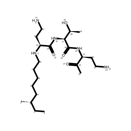 CC[C@H](C)CCCCCN[C@@H](CCN)C(=O)N[C@H](C(=O)N[C@@H](CCN)C(C)=O)[C@H](C)O